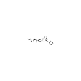 O=C(NC1CC1)c1ccc(-c2ccc3nc([C@@H]4CCCN4C(=O)OCc4ccccc4)[nH]c3c2)cc1